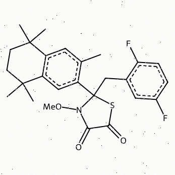 CON1C(=O)C(=O)SC1(Cc1cc(F)ccc1F)c1cc2c(cc1C)C(C)(C)CCC2(C)C